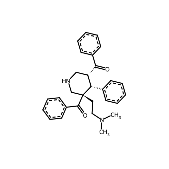 CN(C)CC[C@@]1(C(=O)c2ccccc2)CNC[C@H](C(=O)c2ccccc2)[C@@H]1c1ccccc1